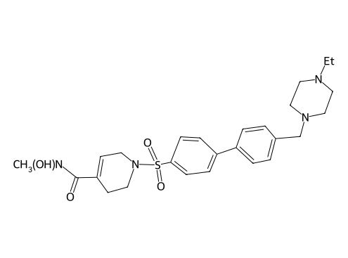 CCN1CCN(Cc2ccc(-c3ccc(S(=O)(=O)N4CC=C(C(=O)N(C)O)CC4)cc3)cc2)CC1